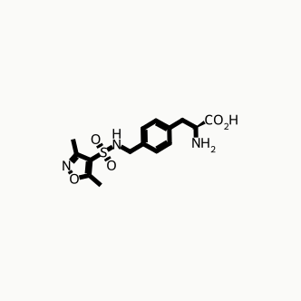 Cc1noc(C)c1S(=O)(=O)NCc1ccc(C[C@H](N)C(=O)O)cc1